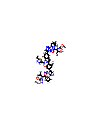 CCc1ncc(C2Oc3cc(-c4cnc([C@@H]5CCCN5C(=O)[C@@H](NC(=O)OC)C(C)C)[nH]4)cc(F)c3-c3cc4cc(-c5cnc([C@@H]6CC7C[C@H]7N6C(=O)[C@@H](NC(=O)OC)C(C)C)[nH]5)ccc4n32)s1